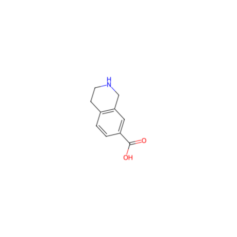 O=C(O)c1ccc2c(c1)CNCC2